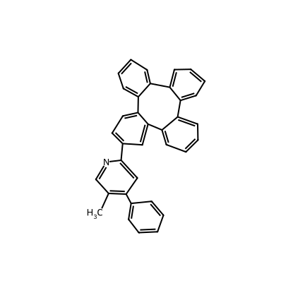 Cc1cnc(-c2ccc3c(c2)-c2ccccc2-c2ccccc2-c2ccccc2-3)cc1-c1ccccc1